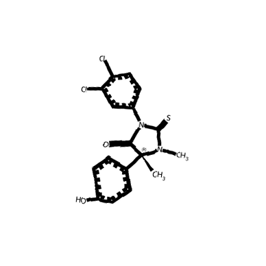 CN1C(=S)N(c2ccc(Cl)c(Cl)c2)C(=O)[C@@]1(C)c1ccc(O)cc1